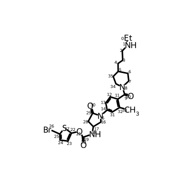 CCNCCCC1CCN(C(=O)c2ccc(N3CC(NC(=O)Oc4ccc(Br)s4)CC3=O)cc2C)CC1